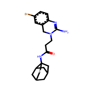 NC1=Nc2ccc(Br)cc2CN1CCC(=O)NC12CC3CC(CC1C3)C2